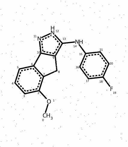 COc1cccc2c1Cc1c-2n[nH]c1Nc1ccc(F)cc1